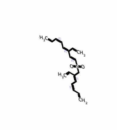 C=C\C=C/C=C(C=C)/C=C/S(=O)(=O)C/C(C=C)=C/C=C\C=C